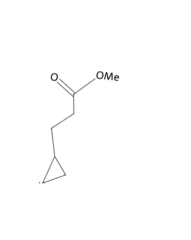 COC(=O)CCC1[CH]C1